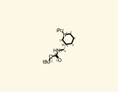 CC(C)N1CCC[C@H](CNC(=O)OC(C)(C)C)C1